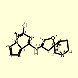 Clc1nc(NC2=NOC3(C2)CN2CCC3CC2)c2cccn2n1